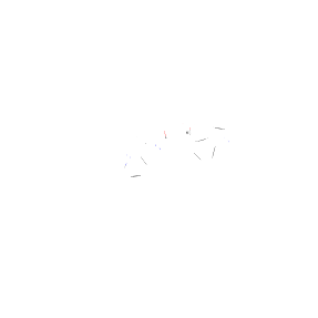 Cn1ccc2c([C@@](C)(O)CC(=O)NC3(c4cc(Cl)cc(OCC(F)(F)F)n4)CC3)cccc21